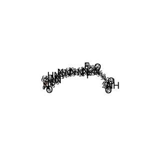 CN(C)C(=O)c1cc2cnc(Nc3ccc(N4CCN(CCN5CCN(c6c(F)cc7c(c6F)CN(CCCCCC6CCC(=O)NC6=O)C7=O)CC5)CC4)cn3)nc2n1C1CCCC1